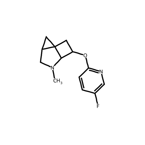 CN1CC2CC23CC(Oc2ccc(F)cn2)C13